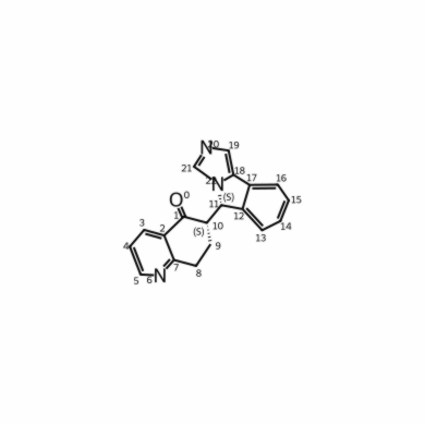 O=C1c2cccnc2CC[C@H]1[C@H]1c2ccccc2-c2cncn21